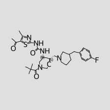 CC(=O)c1sc(NC(=O)N[C@H]2CN(C(=O)C(C)(C)C)CC[C@H]2CN2CCCC(Cc3ccc(F)cc3)C2)nc1C